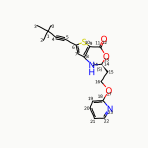 CC(C)(C)C#Cc1cc2c(s1)C(=O)O[C@@H](CCOc1ccccn1)N2